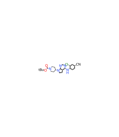 CC(C)(C)OC(=O)N1CCC(n2ccc3c(Nc4ccc(C#N)cc4Cl)ncnc32)CC1